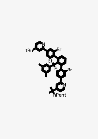 CCCCCC(C)(C)c1ccnc(-c2ccc(-c3cccc(-c4ccc(-c5cc(C(C)(C)C)ccn5)cc4Br)c3C(CC)(CC)c3cc(C)cc(C)c3)c(Br)c2)c1